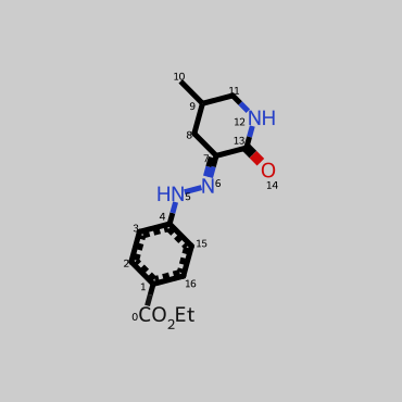 CCOC(=O)c1ccc(N/N=C2\CC(C)CNC2=O)cc1